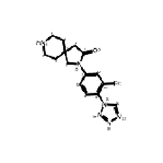 O=C1CC2(CCNCC2)CN1c1ccc(-n2cnnn2)c(F)c1